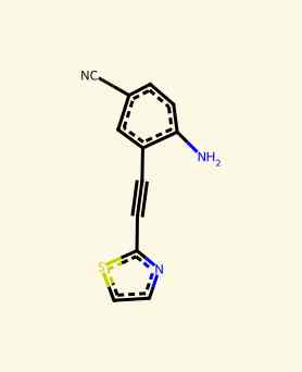 N#Cc1ccc(N)c(C#Cc2nccs2)c1